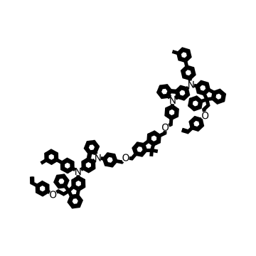 C=Cc1ccc(OCCC2(c3ccccc3)c3ccccc3-c3ccc(N(c4ccc(-c5cccc(C)c5)cc4)c4ccc5c(c4)c4ccccc4n5-c4ccc(COCc5ccc6c(c5)C(C)(C)c5cc(COCc7ccc(-n8c9ccccc9c9cc(N(c%10ccc(-c%11cccc(C)c%11)cc%10)c%10ccc%11c(c%10)C(CCOc%10ccc(C=C)cc%10)(c%10ccccc%10)c%10ccccc%10-%11)ccc98)cc7)ccc5-6)cc4)cc32)cc1